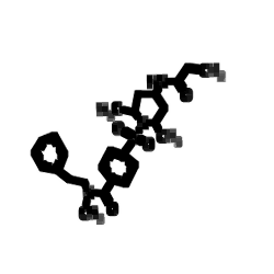 C=CC(=O)NC1CC(C)N(S(=O)(=O)c2ccc(C(=O)N(C)CCc3ccccc3)cc2)C(C)C1